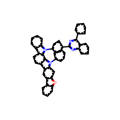 c1ccc(-c2nc(-c3ccc(-n4c5ccccc5c5ccc6c7cc8c(cc7n(-c7ccccc7)c6c54)oc4ccccc48)cc3)nc3ccccc23)cc1